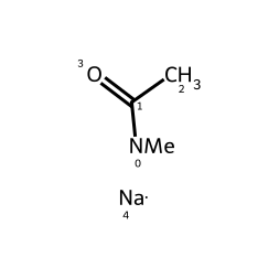 CNC(C)=O.[Na]